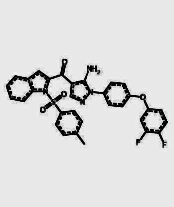 Cc1ccc(S(=O)(=O)n2c(C(=O)c3cnn(-c4ccc(Oc5ccc(F)c(F)c5)cc4)c3N)cc3ccccc32)cc1